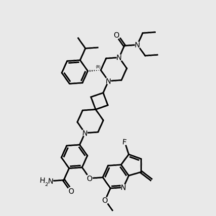 C=C1C=C(F)c2cc(Oc3cc(N4CCC5(CC4)CC(N4CCN(C(=O)N(CC)CC)C[C@H]4c4ccccc4C(C)C)C5)ccc3C(N)=O)c(OC)nc21